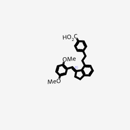 COc1ccc(OC)c(/C=C2\CCc3cccc(CCc4ccc(C(=O)O)cc4)c32)c1